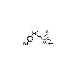 CCC(C)c1ccc(C(=O)N(C)CCCC2(CCBr)OCC(C)(C)CO2)cc1